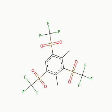 Cc1c(S(=O)(=O)C(F)(F)F)cc(S(=O)(=O)C(F)(F)F)c(C)c1S(=O)(=O)C(F)(F)F